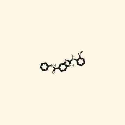 COc1ccccc1Nc1nc2cc(C(=O)Nc3ccccc3)ccc2[nH]1